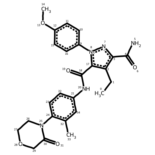 CCc1c(C(N)=O)nn(-c2ccc(OC)cc2)c1C(=O)Nc1ccc(N2CCOCC2=O)c(C)c1